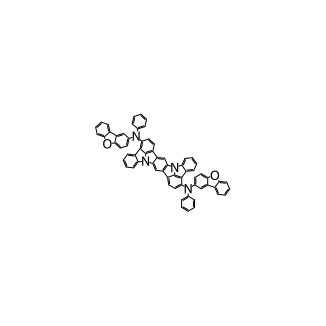 c1ccc(N(c2ccc3oc4ccccc4c3c2)c2ccc3c4cc5c(cc4n4c6ccccc6c2c34)c2ccc(N(c3ccccc3)c3ccc4oc6ccccc6c4c3)c3c4ccccc4n5c23)cc1